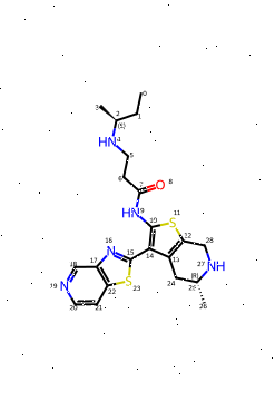 CC[C@H](C)NCCC(=O)Nc1sc2c(c1-c1nc3cnccc3s1)C[C@@H](C)NC2